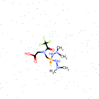 CN(C)NP(=S)(CN(CC(=O)O)C(=O)C(F)(F)F)NN(C)C